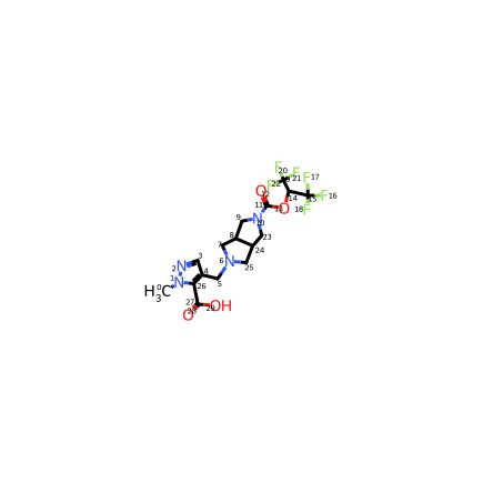 Cn1ncc(CN2CC3CN(C(=O)OC(C(F)(F)F)C(F)(F)F)CC3C2)c1C(=O)O